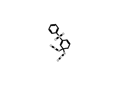 O=C=NC1(N=C=O)C=C(S(=O)(=O)c2ccccc2)C=CC1